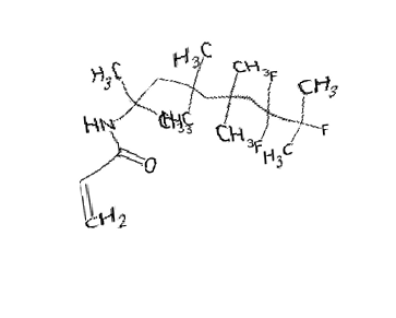 C=CC(=O)NC(C)(C)CC(C)(C)C(C)(C)C(F)(F)C(C)(C)F